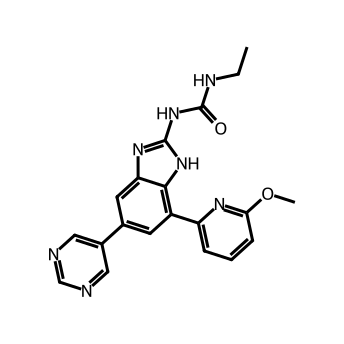 CCNC(=O)Nc1nc2cc(-c3cncnc3)cc(-c3cccc(OC)n3)c2[nH]1